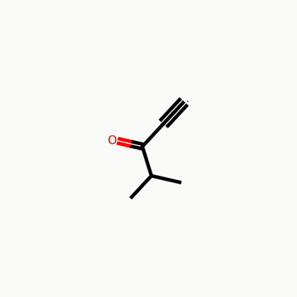 [C]#CC(=O)C(C)C